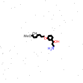 C=C(/C=C\C=C/CCOc1cccc(C(O)CCN)c1)OC